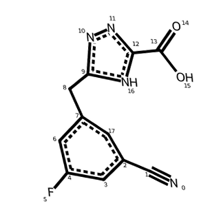 N#Cc1cc(F)cc(Cc2nnc(C(=O)O)[nH]2)c1